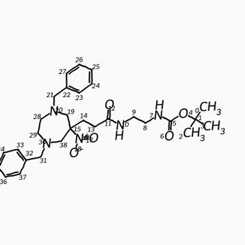 CC(C)(C)OC(=O)NCCNC(=O)CCC1([N+](=O)[O-])CN(Cc2ccccc2)CCN(Cc2ccccc2)C1